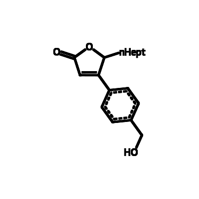 CCCCCCCC1OC(=O)C=C1c1ccc(CO)cc1